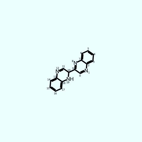 [c]1nc2ccccc2nc1C1C=Nc2ccccc2N1